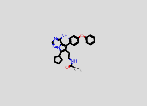 CC(=O)NCCc1c(-c2ccc(Oc3ccccc3)cc2)c2c(N)ncnn2c1C1CCCC1